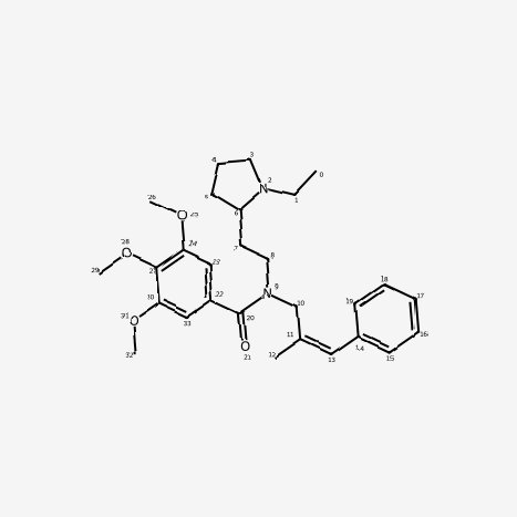 CCN1CCCC1CCN(CC(C)=Cc1ccccc1)C(=O)c1cc(OC)c(OC)c(OC)c1